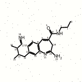 CCCNC(=O)C1=Cc2ccc(CC(C)C(C)C=N)cc2N=C(N)C1